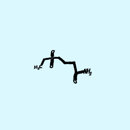 CCS(=O)(=O)CCCC(N)=O